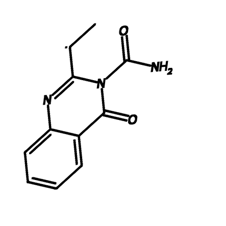 C[CH]c1nc2ccccc2c(=O)n1C(N)=O